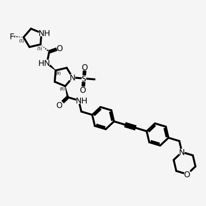 CS(=O)(=O)N1C[C@H](NC(=O)[C@@H]2C[C@H](F)CN2)C[C@@H]1C(=O)NCc1ccc(C#Cc2ccc(CN3CCOCC3)cc2)cc1